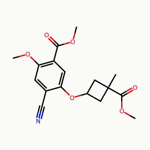 COC(=O)c1cc(OC2CC(C)(C(=O)OC)C2)c(C#N)cc1OC